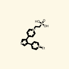 CC[n+]1ccc(-c2cscc2-c2cc[n+](CCP(=O)(O)O)cc2)cc1